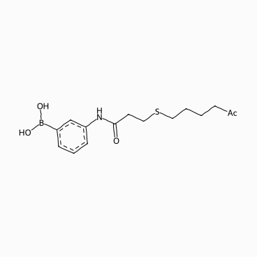 CC(=O)CCCCSCCC(=O)Nc1cccc(B(O)O)c1